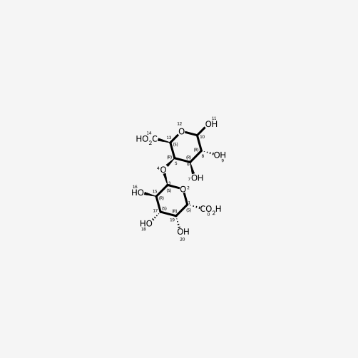 O=C(O)[C@H]1O[C@H](O[C@@H]2[C@H](O)[C@@H](O)C(O)O[C@@H]2C(=O)O)[C@H](O)[C@@H](O)[C@H]1O